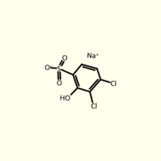 O=S(=O)([O-])c1ccc(Cl)c(Cl)c1O.[Na+]